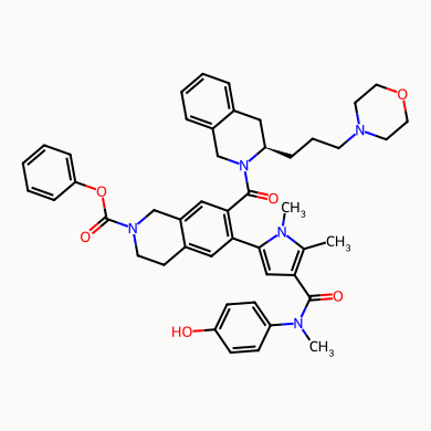 Cc1c(C(=O)N(C)c2ccc(O)cc2)cc(-c2cc3c(cc2C(=O)N2Cc4ccccc4C[C@H]2CCCN2CCOCC2)CN(C(=O)Oc2ccccc2)CC3)n1C